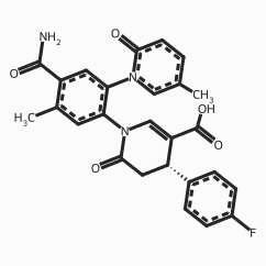 Cc1ccc(=O)n(-c2cc(C(N)=O)c(C)cc2N2C=C(C(=O)O)[C@H](c3ccc(F)cc3)CC2=O)c1